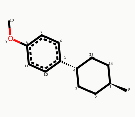 [CH2][C@H]1CC[C@H](c2ccc(OC)cc2)CC1